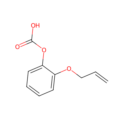 C=CCOc1ccccc1OC(=O)O